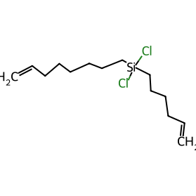 C=CCCCCCC[Si](Cl)(Cl)CCCCC=C